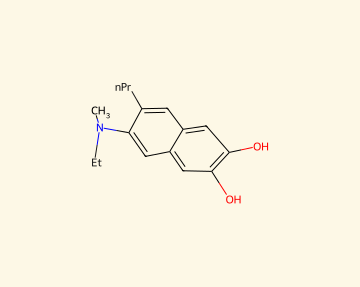 CCCc1cc2cc(O)c(O)cc2cc1N(C)CC